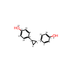 Oc1ccc([C@@H]2C[C@H]2c2ccc(O)cc2)cc1